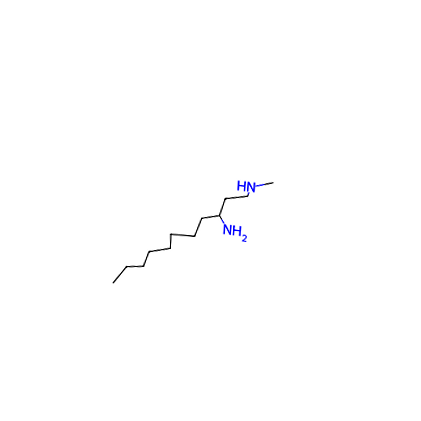 CCCCCCCCC(N)CCNC